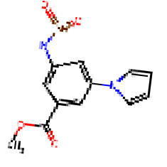 COC(=O)c1cc(N[SH](=O)=O)cc(-n2cccc2)c1